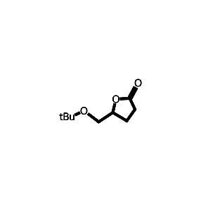 CC(C)(C)OCC1CCC(=O)O1